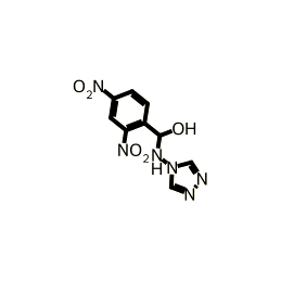 O=[N+]([O-])c1ccc(C(O)Nn2cnnc2)c([N+](=O)[O-])c1